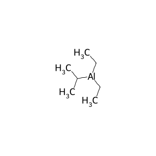 C[CH2][Al]([CH2]C)[CH](C)C